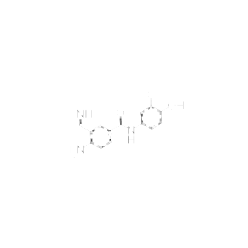 N=Cc1cc(C(=O)Nc2ccc(O)c(Cl)c2)ccc1N